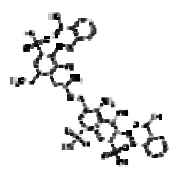 C=Cc1cc(S(=O)(=O)O)c(N=Nc2ccccc2C(=O)O)c(O)c1/C=C(\C)N=Nc1cc(S(=O)(=O)O)c2cc(S(=O)(=O)O)c(N=Nc3ccccc3C(=O)O)c(O)c2c1N